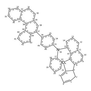 C1=CCC2C(=C1)Oc1c2ccc2cccc(N(c3ccccc3)c3ccc(-c4cc5ccc6ccccc6c5c5ccccc45)cc3)c12